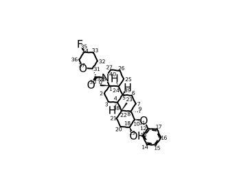 C[C@]12CC[C@H]3[C@@H](CC[C@@]4(C)[C@@H](Oc5ccccc5)[C@@H](O)CC[C@]34C)[C@@H]1CCCN2C(=O)[C@H]1CC[C@H](F)CO1